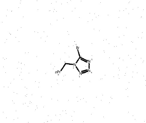 CCCCn1nnnc1Br